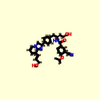 CC(C)Oc1ccc(C(=O)N[C@H](CCO)Cc2ccc(C3CN4C=CC=C(/C=C/CO)C4=N3)cc2)cc1C#N